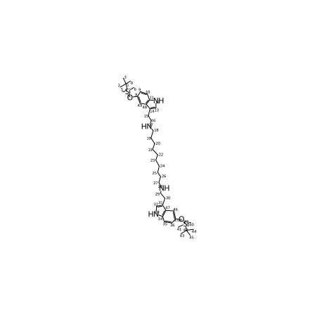 CC(C)(C)[Si](C)(C)Oc1ccc2[nH]cc(CCNCCCCCCCCCCNCCc3c[nH]c4ccc(O[Si](C)(C)C(C)(C)C)cc34)c2c1